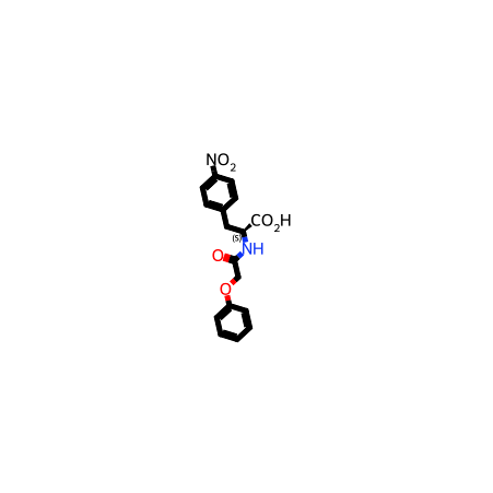 O=C(COc1ccccc1)N[C@@H](Cc1ccc([N+](=O)[O-])cc1)C(=O)O